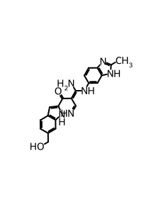 Cc1nc2ccc(N/C(N)=C(\C=N)C(=O)c3cc4ccc(CO)cc4[nH]3)cc2[nH]1